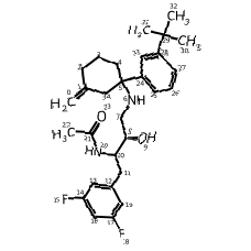 C=C1CCCC(NC[C@@H](O)C(Cc2cc(F)cc(F)c2)NC(C)=O)(c2cccc(C(C)(C)C)c2)C1